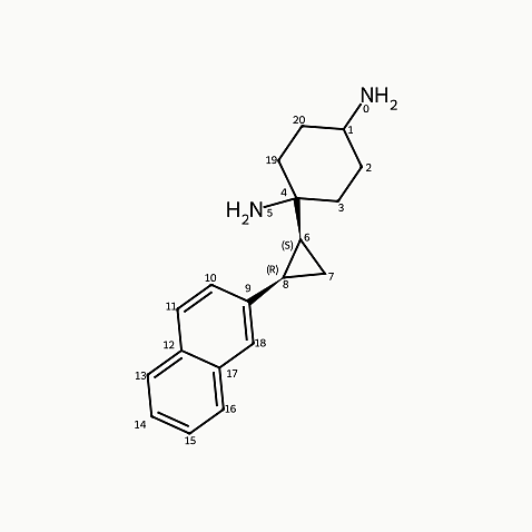 NC1CCC(N)([C@H]2C[C@H]2c2ccc3ccccc3c2)CC1